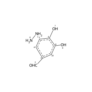 NN.O=Cc1ccc(O)c(O)c1